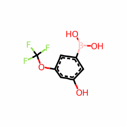 OB(O)c1cc(O)cc(OC(F)(F)F)c1